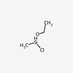 CCO[SiH](C)Cl